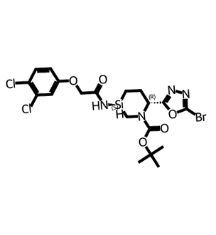 CC(C)(C)OC(=O)N1C[Si@@H](NC(=O)COc2ccc(Cl)c(Cl)c2)CC[C@@H]1c1nnc(Br)o1